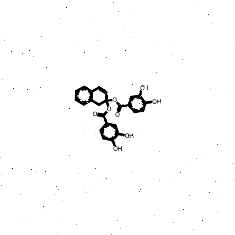 O=C(OC1(OC(=O)c2ccc(O)c(O)c2)C=Cc2ccccc2C1)c1ccc(O)c(O)c1